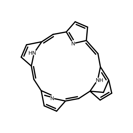 C1=CC2=NC1=CC1=C3C=CC(C=C4C=CC(=N4)C=c4ccc([nH]4)=C2)(C3)N1